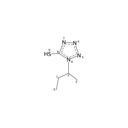 CCC(C)n1nnnc1S